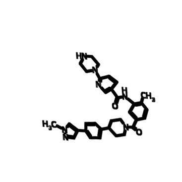 Cc1ccc(C(=O)N2CCC(c3ccc(-c4cnn(C)c4)cc3)CC2)cc1NC(=O)c1ccc(N2CCNCC2)nc1